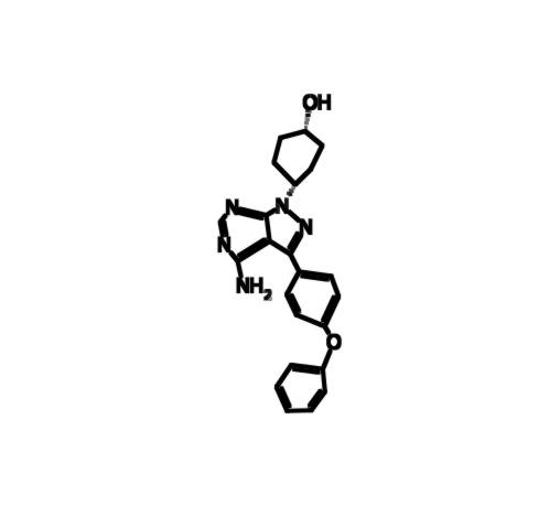 Nc1ncnc2c1c(-c1ccc(Oc3ccccc3)cc1)nn2[C@H]1CC[C@@H](O)CC1